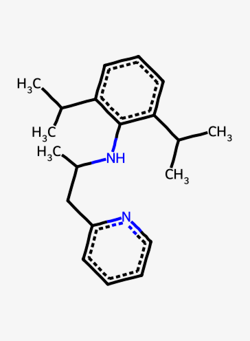 CC(Cc1ccccn1)Nc1c(C(C)C)cccc1C(C)C